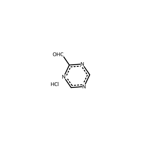 Cl.O=Cc1ncncn1